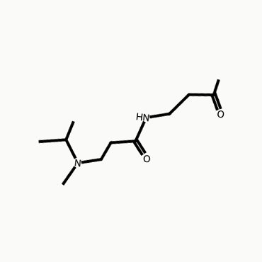 CC(=O)CCNC(=O)CCN(C)C(C)C